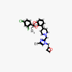 CCc1cn(C[C@@H]2CCO2)c(CN2CCC(c3cccc4c3O[C@@](C)(c3ccc(Cl)cc3F)O4)CC2)n1